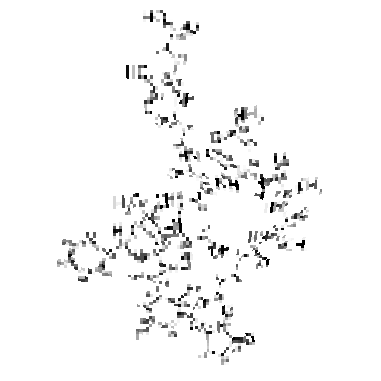 C[C@H](NC(=O)CCCC(=O)ON1C(=O)CCC1=O)C(=O)N[C@@H](C)C(=O)N[C@@H](CC(N)=O)C(=O)N[C@@H](CCN(C(=O)CO)[C@@H](c1cc(-c2cc(F)ccc2F)cn1Cc1ccccc1)C(C)(C)C)C(=O)NCCC(=O)N[C@@H](CCC(=O)O)C(=O)O